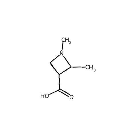 CC1C(C(=O)O)CN1C